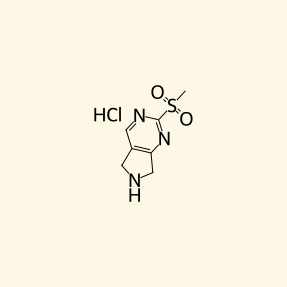 CS(=O)(=O)c1ncc2c(n1)CNC2.Cl